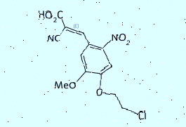 COc1cc(/C=C(\C#N)C(=O)O)c([N+](=O)[O-])cc1OCCCl